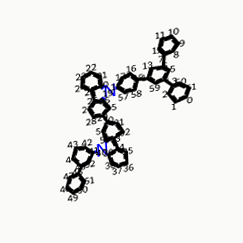 c1ccc(-c2cc(-c3ccccc3)cc(-c3ccc(-n4c5ccccc5c5ccc(-c6ccc7c8ccccc8n(-c8cccc(-c9ccccc9)c8)c7c6)cc54)cc3)c2)cc1